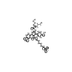 CCCCN(CCCC)C(=O)CN1CC(c2ccc3c(c2)OCO3)[C@@H](C(=O)OCCCCCCO[N+](=O)[O-])C1c1ccc(OC)cc1